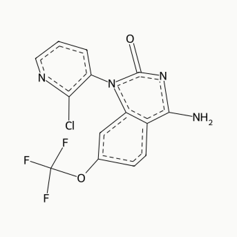 Nc1nc(=O)n(-c2cccnc2Cl)c2cc(OC(F)(F)F)ccc12